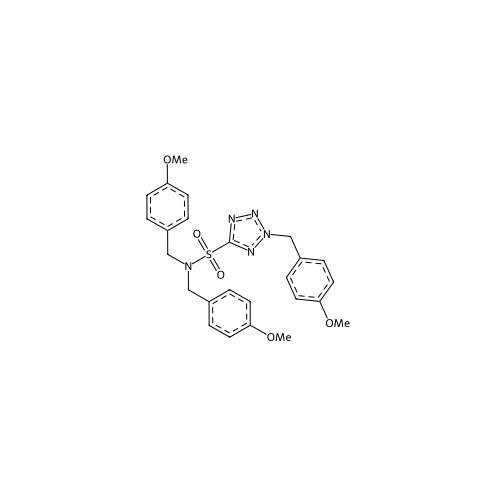 COc1ccc(CN(Cc2ccc(OC)cc2)S(=O)(=O)c2nnn(Cc3ccc(OC)cc3)n2)cc1